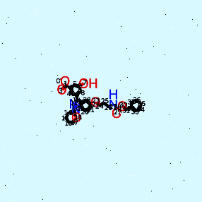 COC(=O)c1cc(O)cc(-c2nn(C3CCCCO3)c3ccc(OCCCNC(=O)OCc4ccccc4)cc23)c1